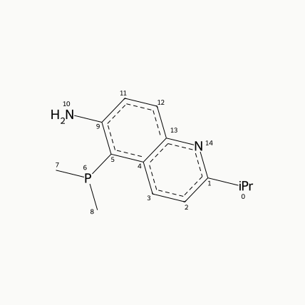 CC(C)c1ccc2c(P(C)C)c(N)ccc2n1